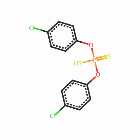 S=P(S)(Oc1ccc(Cl)cc1)Oc1ccc(Cl)cc1